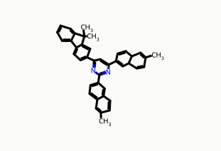 CC1=CC2C=CC(c3cc(-c4ccc5c(c4)C(C)(C)c4ccccc4-5)nc(-c4ccc5cc(C)ccc5c4)n3)=CC2C=C1